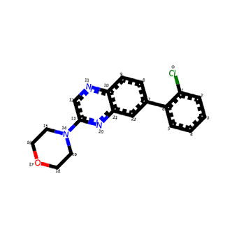 Clc1ccccc1-c1ccc2ncc(N3CCOCC3)nc2c1